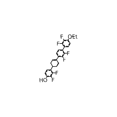 CCOc1ccc(-c2ccc(C3=CCC(c4ccc(O)c(F)c4F)CC3)c(F)c2F)c(F)c1F